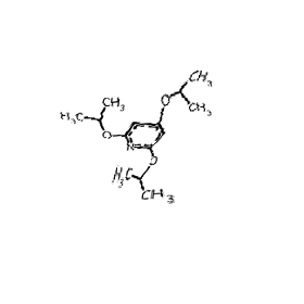 CC(C)Oc1cc(OC(C)C)nc(OC(C)C)c1